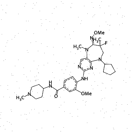 CON=C1N(C)c2cnc(Nc3ccc(C(=O)NC4CCN(C)CC4)cc3OC)nc2N(C2CCCC2)CC1(C)F